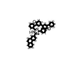 c1ccc(C2=NC(c3cccc4oc5ccc(-c6ccc7oc8ccccc8c7c6)cc5c34)NC(c3ccc4c(ccc5ccccc54)c3)=N2)cc1